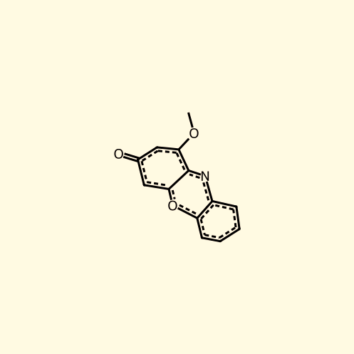 COc1cc(=O)cc2oc3ccccc3nc1-2